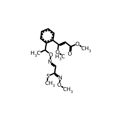 CON=C(C=NOC(C)c1ccccc1C(=CC(=O)OC)OC)SC